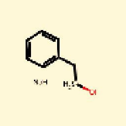 O[SiH2]Cc1ccccc1.[NaH]